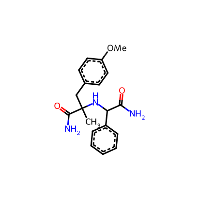 COc1ccc(CC(C)(NC(C(N)=O)c2ccccc2)C(N)=O)cc1